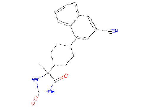 CC1(C2CCC(c3cc(C#N)cc4ccccc34)CC2)NC(=O)NC1=O